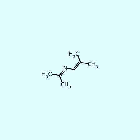 CC(C)=CN=C(C)C